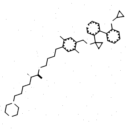 Cc1cc(COC2(c3cnccc3-c3ccccc3OC3CC3)CC2)c(Cl)cc1CCCCNC(=O)[C@H](O)[C@H](O)[C@@H](O)[C@H](O)CN1CCOCC1